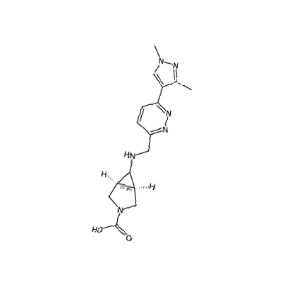 Cc1nn(C)cc1-c1ccc(CNC2[C@H]3CN(C(=O)O)C[C@@H]23)nn1